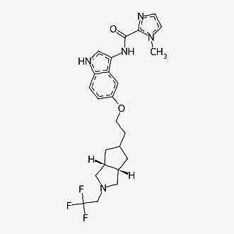 Cn1ccnc1C(=O)Nc1c[nH]c2ccc(OCCC3C[C@@H]4CN(CC(F)(F)F)C[C@@H]4C3)cc12